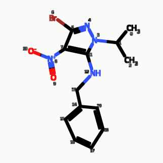 CC(C)n1nc(Br)c([N+](=O)[O-])c1NCc1ccccc1